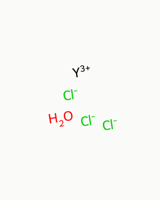 O.[Cl-].[Cl-].[Cl-].[Y+3]